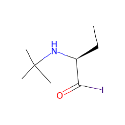 CC[C@H](NC(C)(C)C)C(=O)I